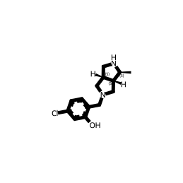 C[C@@H]1NC[C@H]2CN(Cc3ccc(Cl)cc3O)C[C@H]21